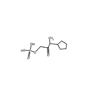 CC(C(=O)COP(=O)(O)O)C1CCCC1